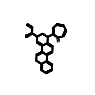 C=CC(=O)C1C=c2c(ccc3c2=CCc2ccccc2-3)C(C2=CC=CC=CN2)C1